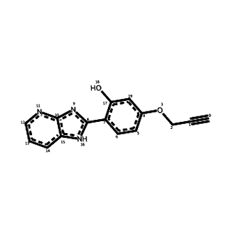 C#CCOc1ccc(-c2nc3ncccc3[nH]2)c(O)c1